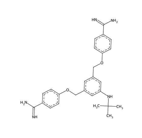 CC(C)(C)Nc1cc(COc2ccc(C(=N)N)cc2)cc(COc2ccc(C(=N)N)cc2)c1